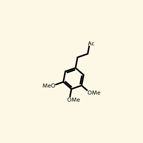 COc1cc(CCC(C)=O)cc(OC)c1OC